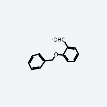 O=[C]c1ccccc1OCc1ccccc1